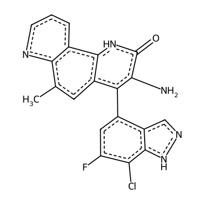 Cc1cc2c(-c3cc(F)c(Cl)c4[nH]ncc34)c(N)c(=O)[nH]c2c2cccnc12